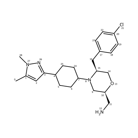 Cc1cc(C2CCC(N3C[C@H](CN)OC[C@@H]3Cc3ccc(Cl)cc3)CC2)nn1C